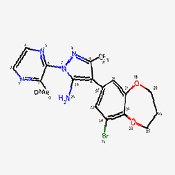 COc1nccnc1-n1nc(C(F)(F)F)c(-c2cc(Br)c3c(c2)OCCCO3)c1N